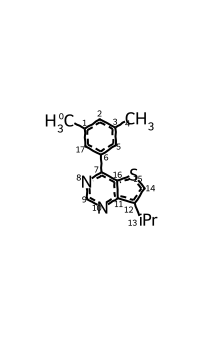 Cc1cc(C)cc(-c2ncnc3c(C(C)C)csc23)c1